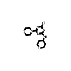 Clc1nc(NC2CCOCC2)nc(N2CCOCC2)n1